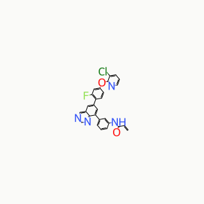 C=CC(=O)Nc1cccc(-c2cc(-c3ccc(Oc4ncccc4Cl)cc3F)cc3cncnc23)c1